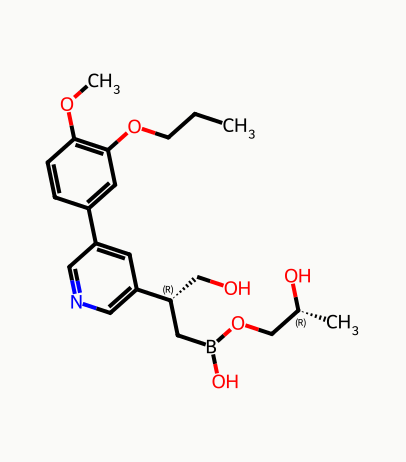 CCCOc1cc(-c2cncc([C@H](CO)CB(O)OC[C@@H](C)O)c2)ccc1OC